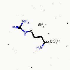 B.N=C(N)NCCCC(N)C(=O)O